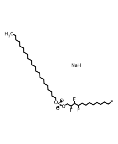 CCCCCCCCCCCCCCCCCCCCCCOS(=O)(=O)OCC(F)C(F)C(F)CCCCCCCCF.[NaH]